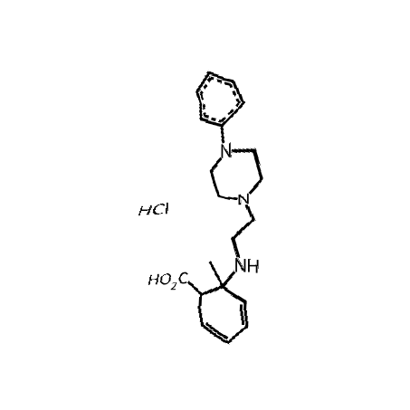 CC1(NCCN2CCN(c3ccccc3)CC2)C=CC=CC1C(=O)O.Cl